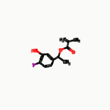 C=C(C)C(=O)OC(C)c1ccc(I)c(O)c1